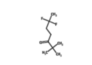 CC(F)(F)CCC(=O)C(C)(C)C